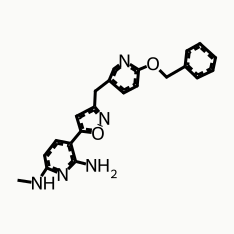 CNc1ccc(-c2cc(Cc3ccc(OCc4ccccc4)nc3)no2)c(N)n1